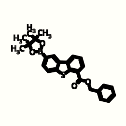 CC1(C)OB(c2ccc3sc4c(C(=O)OCc5ccccc5)cccc4c3c2)OC1(C)C